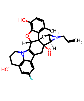 C=CCN1C2C[C@]34c5c(C)ccc(O)c5O[C@H]3c3c(c5cc(F)cc6c5n3CC[C@H]6O)C[C@@]4(O)[C@@H]21